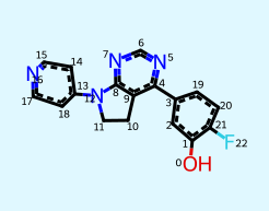 Oc1cc(-c2ncnc3c2CCN3c2ccncc2)ccc1F